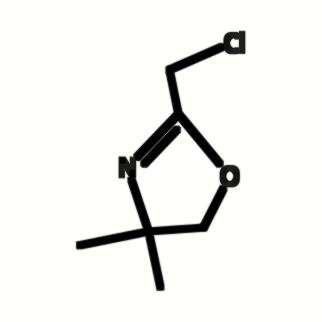 CC1(C)COC(CCl)=N1